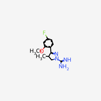 COc1cc(F)ccc1C1=NN(C(=N)N)CC1C